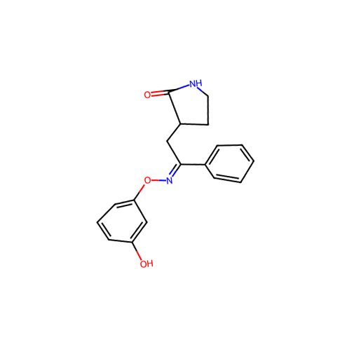 O=C1NCCC1C/C(=N\Oc1cccc(O)c1)c1ccccc1